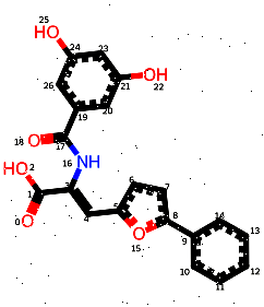 O=C(O)/C(=C/c1ccc(-c2ccccc2)o1)NC(=O)c1cc(O)cc(O)c1